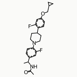 CC(=O)NC(C)c1ccc(N2CCC(c3ccc(OCC4CC4)cc3F)CC2)c(F)c1